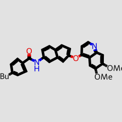 COc1cc2nccc(Oc3ccc4ccc(NC(=O)c5ccc(C(C)(C)C)cc5)cc4c3)c2cc1OC